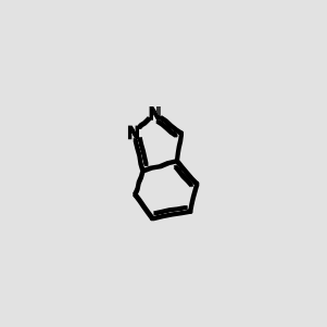 C1=CCC2=NN=CC2=C1